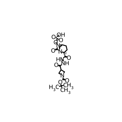 CC(C)(C)OC(=O)N1CC(C(=O)NNC(=O)[C@@H]2CCC3CN2C(=O)N3OS(=O)(=O)O)C1